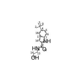 CC(C)(C)c1ccc2[nH]c(C(=O)NCCO)cc2c1